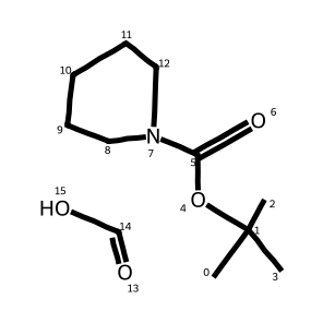 CC(C)(C)OC(=O)N1CCCCC1.O=CO